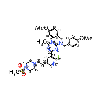 COc1ccc(CN(Cc2ccc(OC)cc2)c2nc(C)nc(-c3cc(CCN4CCN(S(C)(=O)=O)CC4)cnc3F)n2)cc1